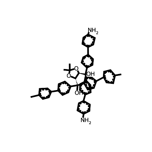 Cc1ccc(-c2ccc(C(O)(c3ccc(-c4ccc(C)cc4)cc3)[C@@H]3OC(C)(C)O[C@H]3C(O)(c3ccc(-c4ccc(N)cc4)cc3)c3ccc(-c4ccc(N)cc4)cc3)cc2)cc1